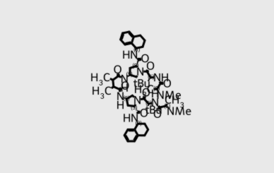 CN[C@@H](C)C(=O)N[C@H](C(=O)N1C[C@@H](NC(=O)C(C)C(C)C(=O)N[C@H]2C[C@@H](C(=O)N[C@@H]3CCCc4ccccc43)N(C(=O)[C@@H](NC(=O)[C@H](C)NC)C(C)(C)C)C2)C[C@H]1C(=O)N[C@@H]1CCCc2ccccc21)C(C)(C)C